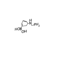 OB(O)C1=CC=CC(NCP)C1